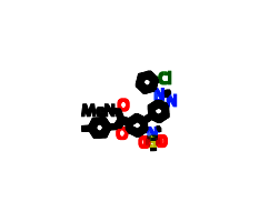 CNC(=O)c1c(-c2ccc(C)cc2)oc2cc(N(C)S(C)(=O)=O)c(-c3ccc4ncn(-c5ccccc5Cl)c4c3)cc12